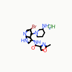 Cc1nc(C(=O)Nc2c[nH]c3ncc(Br)c(N4CCCC(N)C4)c23)co1.Cl